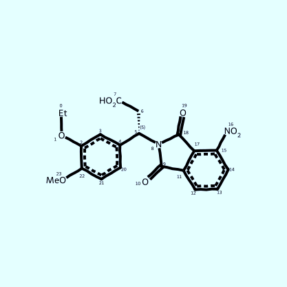 CCOc1cc([C@H](CC(=O)O)N2C(=O)c3cccc([N+](=O)[O-])c3C2=O)ccc1OC